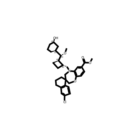 COC(=O)c1ccc2c(c1)N(C[C@@H]1CC[C@H]1[C@@H](OC)[C@H]1CCC[C@@H](O)C1)CC1(CCCc3cc(Cl)ccc31)CO2